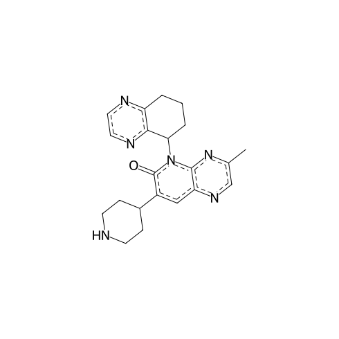 Cc1cnc2cc(C3CCNCC3)c(=O)n(C3CCCc4nccnc43)c2n1